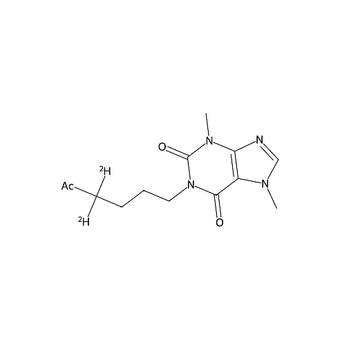 [2H]C([2H])(CCCn1c(=O)c2c(ncn2C)n(C)c1=O)C(C)=O